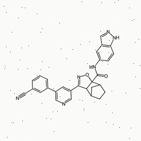 N#Cc1cccc(-c2cncc(C3=NOC4(C(=O)Nc5ccc6[nH]ncc6c5)C5CCC(C5)C34)c2)c1